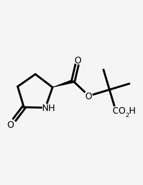 CC(C)(OC(=O)[C@@H]1CCC(=O)N1)C(=O)O